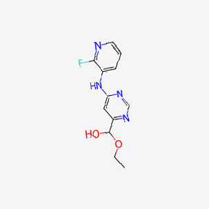 CCOC(O)c1cc(Nc2cccnc2F)ncn1